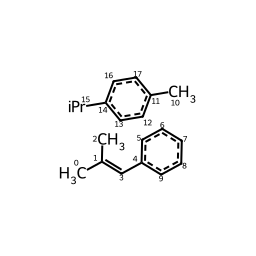 CC(C)=Cc1ccccc1.Cc1ccc(C(C)C)cc1